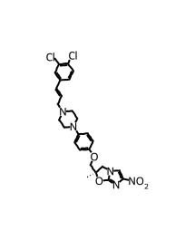 C[C@]1(COc2ccc(N3CCN(C/C=C/c4ccc(Cl)c(Cl)c4)CC3)cc2)Cn2cc([N+](=O)[O-])nc2O1